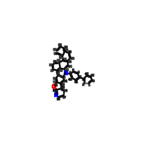 c1ccc(-c2ccc(N(c3ccc4oc5ncccc5c4c3)c3cc4ccc5ccccc5c4c4ccccc34)cc2)cc1